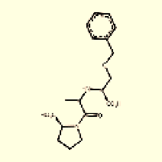 CC(N[C@@H](COCc1ccccc1)C(=O)O)C(=O)N1CCC[C@H]1C(=O)O